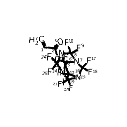 C=CC(=O)OC1(F)N2C(F)(F)N3C(F)(F)N(C2(F)F)C(F)(F)N1C3(F)F